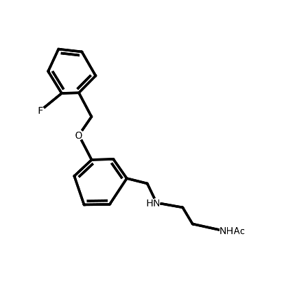 CC(=O)NCCNCc1cccc(OCc2ccccc2F)c1